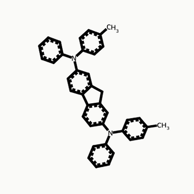 Cc1ccc(N(c2ccccc2)c2ccc3c(c2)Cc2cc(N(c4ccccc4)c4ccc(C)cc4)ccc2-3)cc1